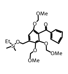 CC[Si](C)(C)OCc1cc(OCOC)c(C(=O)c2ccccc2)c(OCOC)c1OCOC